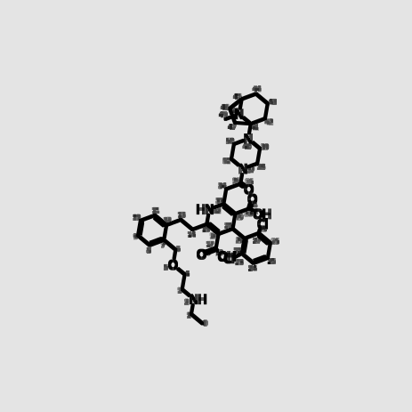 CCNCCOCc1ccccc1CCC1=C(C(=O)O)C(c2c(Cl)cccc2Cl)C(C(=O)O)=C(CC(=O)N2CCN(C34CCCC(CC3)N4C)CC2)N1